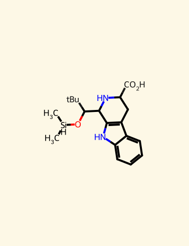 C[SiH](C)OC(C1NC(C(=O)O)Cc2c1[nH]c1ccccc21)C(C)(C)C